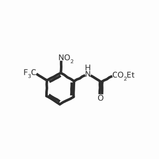 CCOC(=O)C(=O)Nc1cccc(C(F)(F)F)c1[N+](=O)[O-]